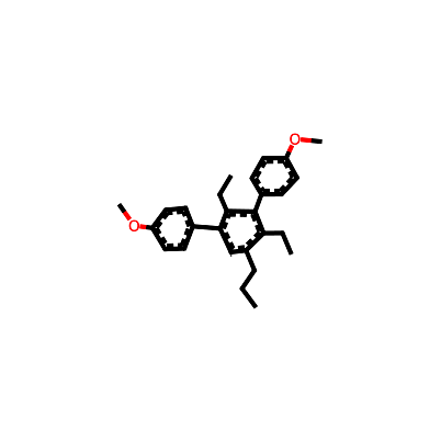 CCCc1[c]c(-c2ccc(OC)cc2)c(CC)c(-c2ccc(OC)cc2)c1CC